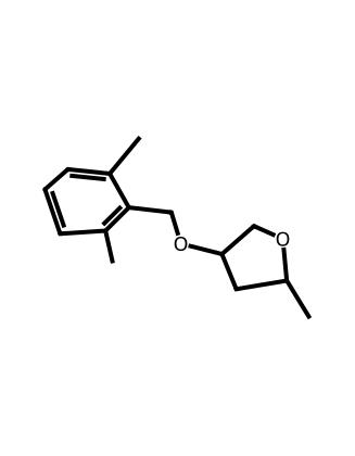 Cc1cccc(C)c1COC1COC(C)C1